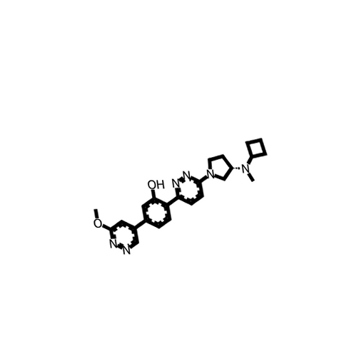 COc1cc(-c2ccc(-c3ccc(N4CC[C@H](N(C)C5CCC5)C4)nn3)c(O)c2)cnn1